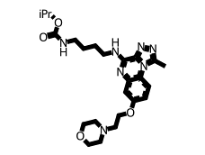 Cc1nnc2c(NCCCCNC(=O)OC(C)C)nc3cc(OCCN4CCOCC4)ccc3n12